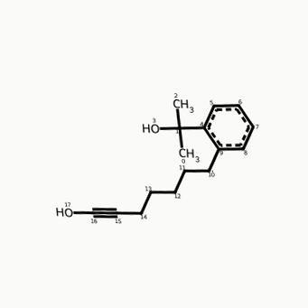 CC(C)(O)c1ccccc1[CH]CCCCC#CO